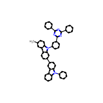 Cc1ccc2c(c1)c1ccc(-c3ccc4c(c3)c3ccccc3n4-c3ccccc3)cc1n2-c1cccc(-c2nc(-c3ccccc3)nc(-c3ccccc3)n2)c1